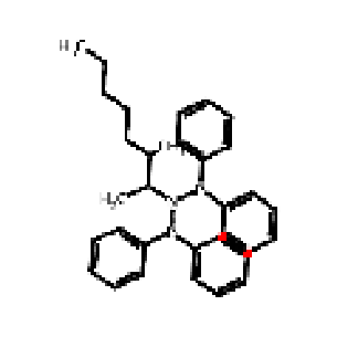 CCCCCC(C)C(C)N(P(c1ccccc1)c1ccccc1)P(c1ccccc1)c1ccccc1